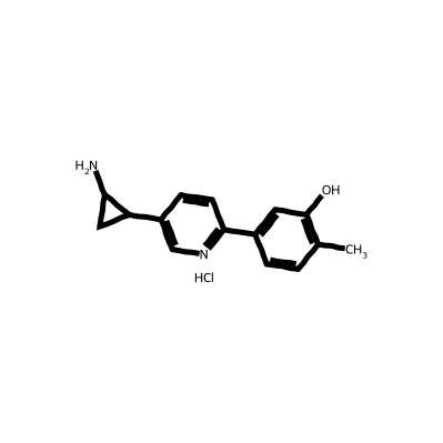 Cc1ccc(-c2ccc(C3CC3N)cn2)cc1O.Cl